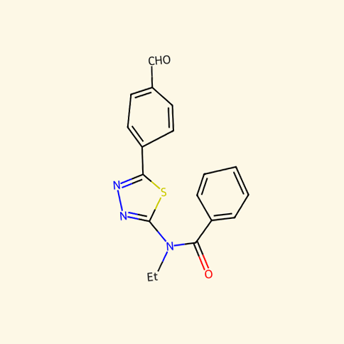 CCN(C(=O)c1ccccc1)c1nnc(-c2ccc(C=O)cc2)s1